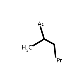 CC(=O)C(C)CC(C)C